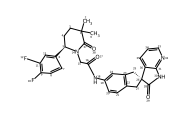 CC1(C)CC[C@H](c2ccc(F)c(F)c2)N(CC(=O)Nc2ccc3c(c2)C[C@@]2(C3)C(=O)Nc3ncccc32)C1=O